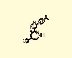 C=C1/C=C(c2ccoc2)\C=C/CN/N=C\1c1cc(N2CCN(C(C)C)CC2)ncn1